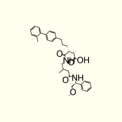 COC[C@@H](NC(=O)CC(C)CNC(=O)[C@H](CCCc1ccc(-c2ccccc2C)cc1)CC(=O)O)c1ccccc1